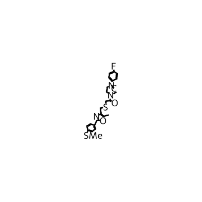 CSc1ccc(-c2nc(CSCC(=O)N3CCN(c4ccc(F)cc4)CC3)c(C)o2)cc1